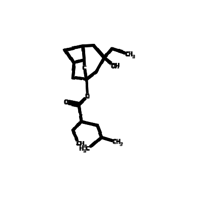 CCC(CC(C)C)C(=O)OC12CC3CC(CC(O)(CC)C1)C3C2